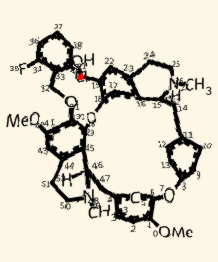 COc1ccc2cc1Oc1ccc(cc1)C[C@H]1c3cc(c(CO)cc3CCN1C)Oc1c(OCc3c(F)cccc3Cl)c(OC)cc3c1[C@H](C2)N(C)CC3